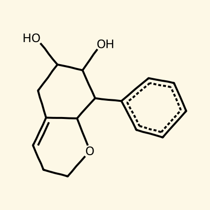 OC1CC2=CCCOC2C(c2ccccc2)C1O